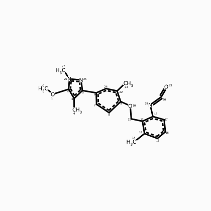 COc1c(C)c(-c2ccc(OCc3c(C)cccc3N=C=O)c(C)c2)nn1C